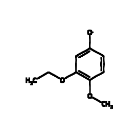 CCOc1cc([O])ccc1OC